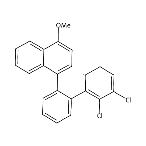 COc1ccc(-c2ccccc2C2=C(Cl)C(Cl)=CC[CH]2)c2ccccc12